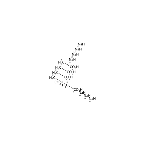 CC(=O)O.CC(=O)O.CC(=O)O.CC(=O)O.CC(=O)O.[NaH].[NaH].[NaH].[NaH].[NaH].[NaH].[NaH]